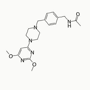 COc1cc(N2CCN(Cc3ccc(CNC(C)=O)cc3)CC2)nc(OC)n1